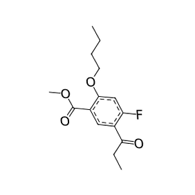 CCCCOc1cc(F)c(C(=O)CC)cc1C(=O)OC